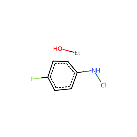 CCO.Fc1ccc(NCl)cc1